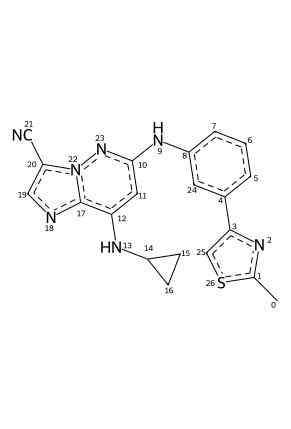 Cc1nc(-c2cccc(Nc3cc(NC4CC4)c4ncc(C#N)n4n3)c2)cs1